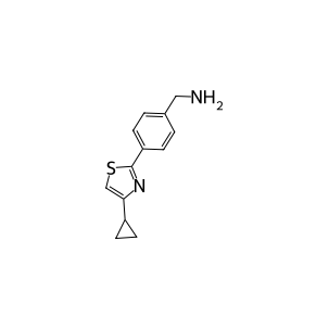 NCc1ccc(-c2nc(C3CC3)cs2)cc1